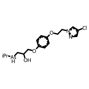 CC(C)[AsH]CC(O)COc1ccc(OCCn2cc(Cl)cn2)cc1